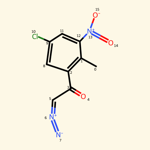 Cc1c(C(=O)C=[N+]=[N-])cc(Cl)cc1[N+](=O)[O-]